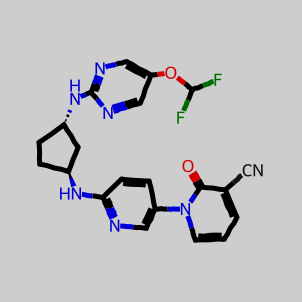 N#Cc1cccn(-c2ccc(N[C@H]3CC[C@H](Nc4ncc(OC(F)F)cn4)C3)nc2)c1=O